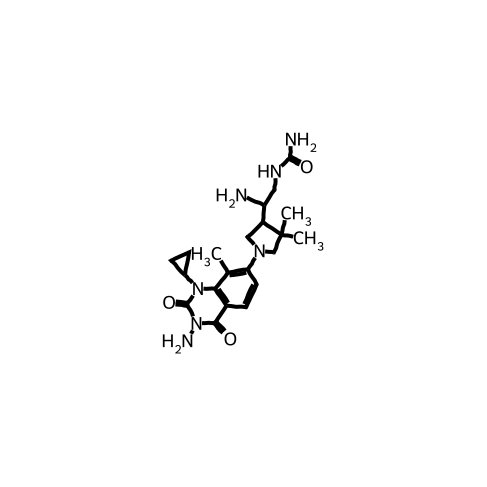 Cc1c(N2CC(C(N)CNC(N)=O)C(C)(C)C2)ccc2c(=O)n(N)c(=O)n(C3CC3)c12